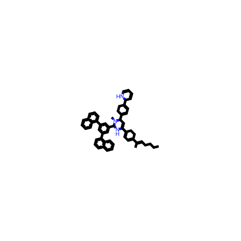 CCCC/C=C(\C)C1=CC=C(C2=CC(C3=CC=C(C4C=CC=CN4)CC3)N(C)C(c3cc(-c4cccc5ccccc45)cc(-c4cccc5ccccc45)c3)N2)CC1